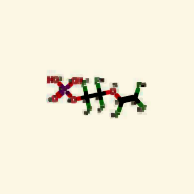 O=P(O)(O)OC(F)(F)C(F)(F)OC(F)=C(F)F